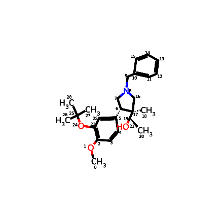 COc1ccc([C@@H]2CN(Cc3ccccc3)C[C@@]2(C)[C@@H](C)O)cc1OC(C)(C)C